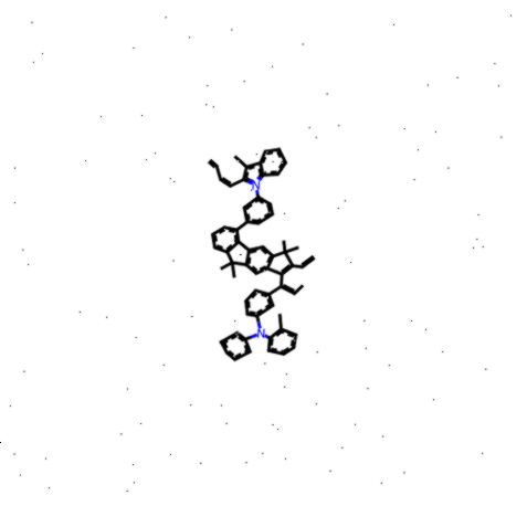 C=C/C=C\c1c(C)c2ccccc2n1-c1cccc(-c2cccc3c2-c2cc4c(cc2C3(C)C)C(/C(=C\C)c2cccc(N(c3ccccc3)c3ccccc3C)c2)=C(C=C)C4(C)C)c1